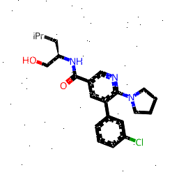 CC(C)C[C@H](CO)NC(=O)c1cnc(N2CCCC2)c(-c2cccc(Cl)c2)c1